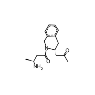 CC(=O)C[C@H]1Cc2ccccc2CN1C(=O)C[C@H](C)N